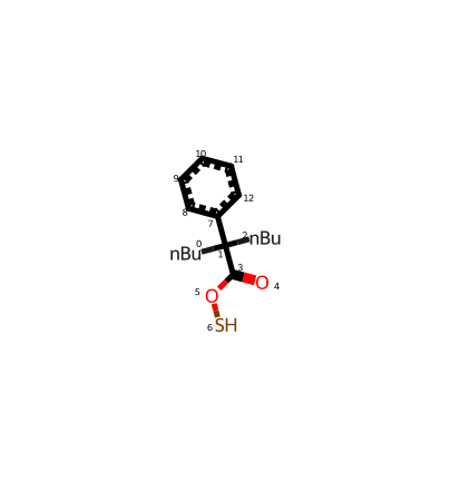 CCCCC(CCCC)(C(=O)OS)c1ccccc1